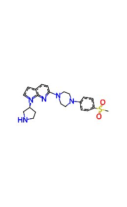 CS(=O)(=O)c1ccc(N2CCN(c3ccc4ccn([C@H]5CCNC5)c4n3)CC2)cc1